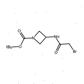 CC(C)(C)OC(=O)N1CC(NC(=O)CBr)C1